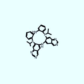 CC(C)P1c2ccccc2Nc2ccccc2P(C(C)C)c2cc3ncncc3cc2Nc2cc3cncnc3cc21